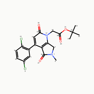 CN1Cc2c(c(-c3cc(Cl)ccc3Cl)cc(=O)n2CC(=O)OC(C)(C)C)C1=O